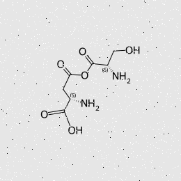 N[C@@H](CC(=O)OC(=O)[C@@H](N)CO)C(=O)O